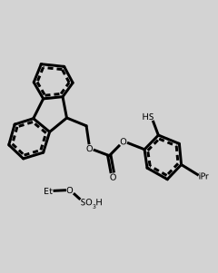 CC(C)c1ccc(OC(=O)OCC2c3ccccc3-c3ccccc32)c(S)c1.CCOS(=O)(=O)O